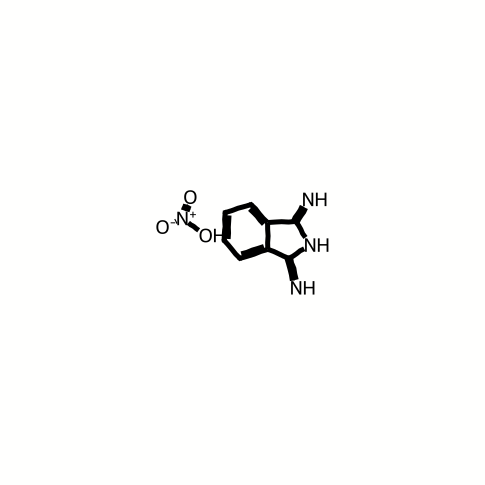 N=C1NC(=N)c2ccccc21.O=[N+]([O-])O